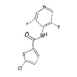 O=C(Nc1c(F)cncc1F)c1ccc(Cl)s1